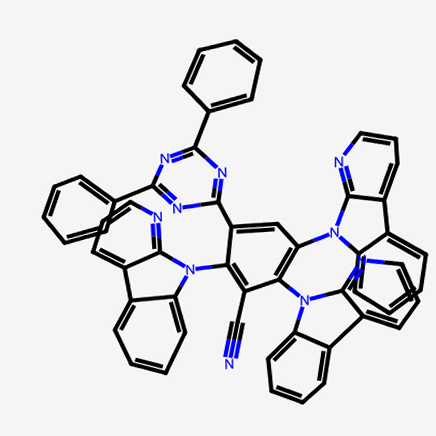 N#Cc1c(-n2c3ccccc3c3cccnc32)c(-c2nc(-c3ccccc3)nc(-c3ccccc3)n2)cc(-n2c3ccccc3c3cccnc32)c1-n1c2ccccc2c2cccnc21